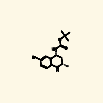 C[C@H]1C[C@@H](NC(=O)OC(C)(C)C)c2cc(Br)ccc2N1